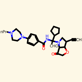 C#CC1CN(C(C=O)(NC(=O)c2ccc(N3CCN(CCC)CC3)cc2)C2CCCC2)C2C(=O)COC12